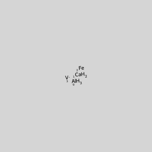 [AlH3].[CaH2].[Fe].[V]